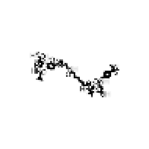 CNC(=O)c1nnc(NC(=O)C2CC2)cc1Nc1cccc(-c2ncn(CCNC(=O)CCCCCCC(=O)N[C@H](C(=O)N3C[C@H](O)C[C@H]3C(=O)NCc3ccc(-c4scnc4C)cc3)C(C)(C)C)n2)c1OC